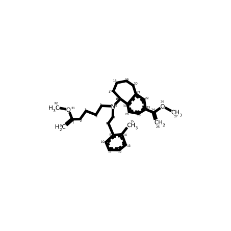 C=C(CCCCN(CCc1ccccc1C)C1CCCCc2cc(C(=C)OC)ccc21)OC